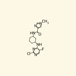 Cn1cnc(C(=O)NC2CCCC(Nc3nc(Cl)ncc3F)C2)c1